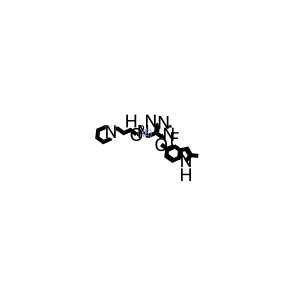 Cc1cc2c(F)c(Oc3ncnc(N)c3/C=N/OCCCN3CCCCC3)ccc2[nH]1